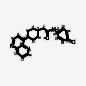 O=C(CC1CCC(c2ccnc3cccnc23)CC1)Nc1ccc(Cl)cc1